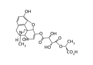 C[C@H](OC(=O)[C@@H](O)[C@H](O)C(=O)OC1=CC[C@@]2(O)[C@H]3Cc4ccc(O)c5c4C2(CCN3C)C1O5)C(=O)O